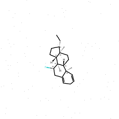 CC[C@H]1CC[C@H]2[C@@H]3[C@H](F)CC4=CCC=C[C@]4(C)[C@H]3CC[C@]12C